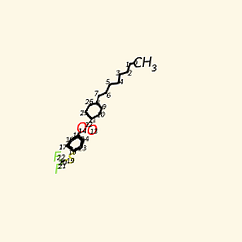 CCCCCCCC[C@H]1CC[C@H](C(=O)Oc2ccc(SC(F)F)cc2)CC1